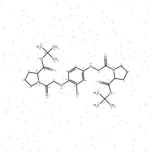 CC(C)(C)OC(=O)C1CCCN1C(=O)COc1ccc(OCC(=O)N2CCCC2C(=O)OC(C)(C)C)c(Cl)c1